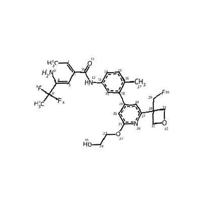 C/C=C(\C=C(/N)C(C)(F)F)C(=O)Nc1ccc(C)c(-c2cc(OCCO)nc(C3(CF)COC3)c2)c1